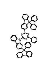 c1ccc(-c2nc(-c3ccc4c(c3)C(c3ccccc3)(c3ccccc3)c3ccccc3-4)nc(-n3c4ccccc4c4ccc(C5(c6ccccc6)c6ccccc6-c6ccccc65)cc43)n2)cc1